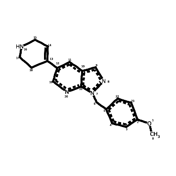 COc1ccc(Cn2ncc3cc(C4=CCNCC4)cnc32)cc1